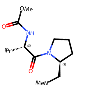 CNC[C@@H]1CCCN1C(=O)[C@@H](NC(=O)OC)C(C)C